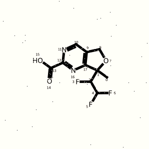 CC1(C(F)C(F)F)OCc2cnc(C(=O)O)nc21